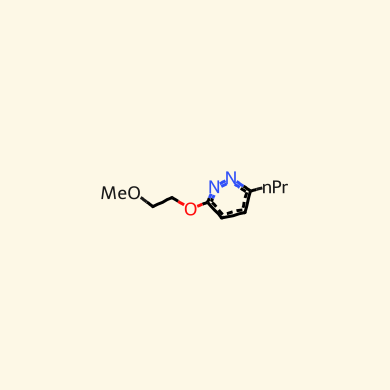 CCCc1ccc(OCCOC)nn1